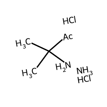 CC(=O)C(C)(C)N.Cl.Cl.N